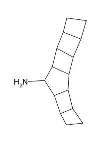 NC1C2C3CCC3C2C2C1C1C3CCC3C12